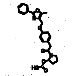 Cc1oc(-c2ccccc2)nc1COc1ccc(CC(=O)N2CCCC2OC(=O)O)cc1